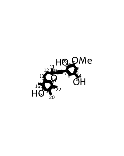 COc1cc(CO)cc(C#CC2(C)CCc3c(C)c(O)c(C)c(C)c3O2)c1O